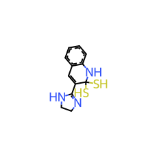 SC1(S)Nc2ccccc2C=C1C1=NCCN1